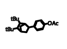 CC(=O)Oc1ccc(C2CC3CC2C(C(C)(C)C)C3C(C)(C)C)cc1